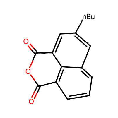 CCCCc1cc2c3c(cccc3c1)C(=O)OC2=O